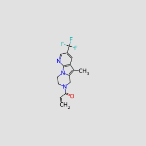 C=CC(=O)N1CCn2c(c(C)c3cc(C(F)(F)F)cnc32)C1